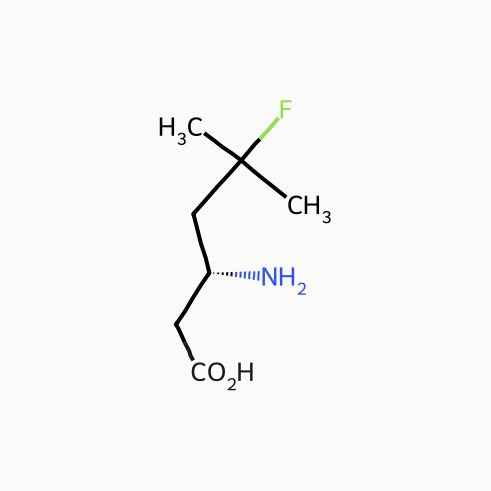 CC(C)(F)C[C@H](N)CC(=O)O